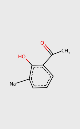 CC(=O)c1ccc[c]([Na])c1O